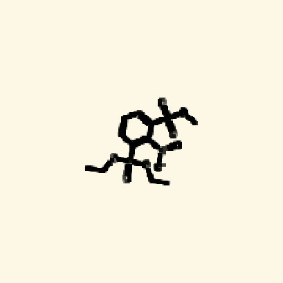 CCOP(=O)(OCC)c1cccc(S(=O)(=O)OC)c1[N+](=O)[O-]